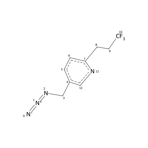 [N-]=[N+]=NCc1ccc(CCC(F)(F)F)nc1